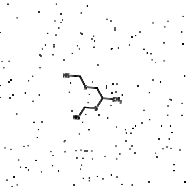 CC(CSCS)SCS